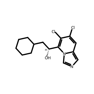 O[C@H](CC1CCCCC1)c1c(Cl)c(Cl)cc2cncn12